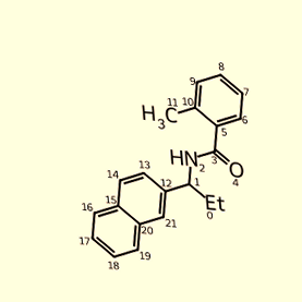 CCC(NC(=O)c1ccccc1C)c1ccc2ccccc2c1